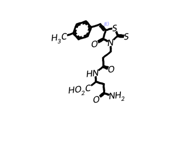 Cc1ccc(/C=C2/SC(=S)N(CCC(=O)NC(CC(N)=O)C(=O)O)C2=O)cc1